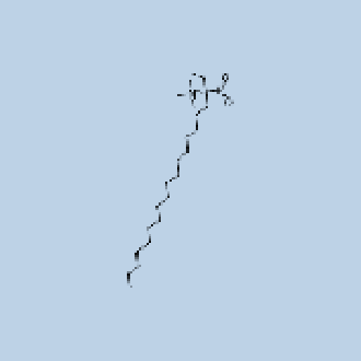 CCC=CCCCCCCCCCCCCCC(CC)(P(=O)=O)[N+](C)(C)C